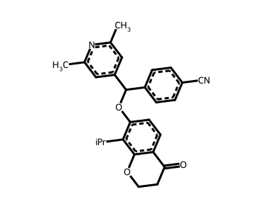 Cc1cc(C(Oc2ccc3c(c2C(C)C)OCCC3=O)c2ccc(C#N)cc2)cc(C)n1